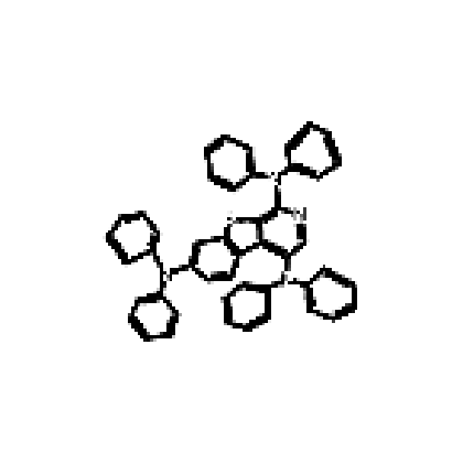 c1ccc(N(c2ccccc2)c2ccc3c(c2)sc2c(N(c4ccccc4)c4ccccc4)ncc(N(c4ccccc4)c4ccccc4)c23)cc1